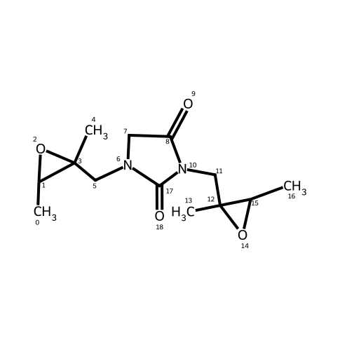 CC1OC1(C)CN1CC(=O)N(CC2(C)OC2C)C1=O